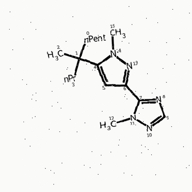 CCCCCC(C)(CCC)c1cc(-c2ncnn2C)nn1C